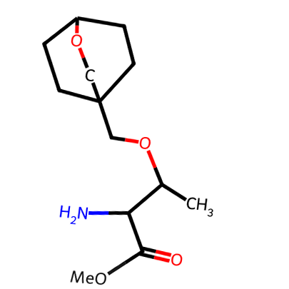 COC(=O)C(N)C(C)OCC12CCC(CC1)OC2